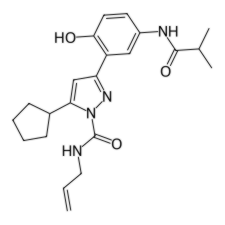 C=CCNC(=O)n1nc(-c2cc(NC(=O)C(C)C)ccc2O)cc1C1CCCC1